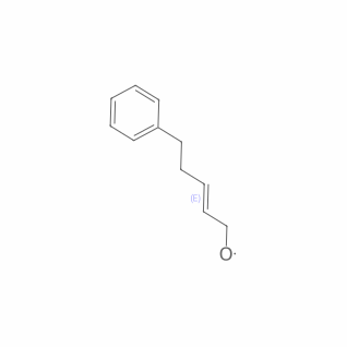 [O]C/C=C/CCc1ccccc1